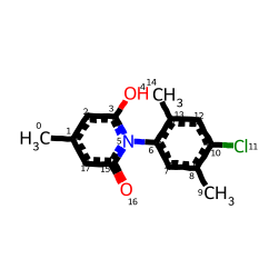 Cc1cc(O)n(-c2cc(C)c(Cl)cc2C)c(=O)c1